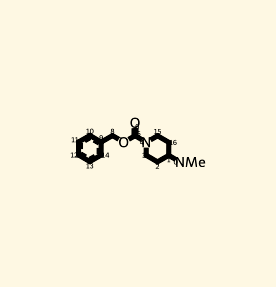 CNC1CCN(C(=O)OCc2ccccc2)CC1